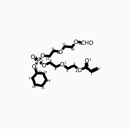 C=CC(=O)OCCOCCOP(=O)(OCCOCCOC=O)OC1CCCCC1